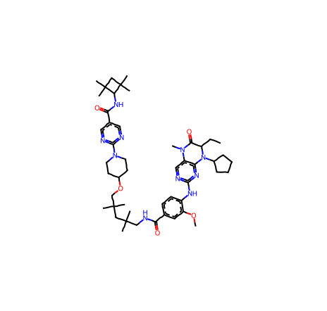 CCC1C(=O)N(C)c2cnc(Nc3ccc(C(=O)NCC(C)(C)CC(C)(C)COC4CCN(c5ncc(C(=O)NC6C(C)(C)CC6(C)C)cn5)CC4)cc3OC)nc2N1C1CCCC1